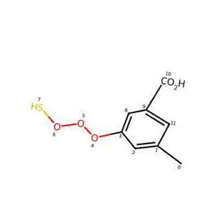 Cc1cc(OOOS)cc(C(=O)O)c1